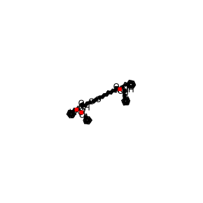 O=C(CCCCCCCCOCCOCCCC(=O)NCC(Cc1ccccc1)NC(=O)OCc1ccccc1)NCC(Cc1ccccc1)NC(=O)OCc1ccccc1